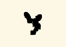 C[C@@H]1COCCN1c1cc(C#CC2(O)CCC3(CCOCC3)CC2)c2cnn(-c3ccnn3COCC[Si](C)(C)C)c2n1